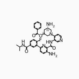 CC(C)NC(=O)c1ccc(F)c(-c2ccc(N)c(C(=O)Nc3cnccc3N3C[C@@H](N)C[C@H](OC(=O)c4ccccc4)C3)n2)c1